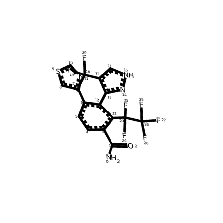 NC(=O)c1ccc(-c2cscn2)c(-c2n[nH]cc2C(F)(F)F)c1C(F)(F)C(F)(F)F